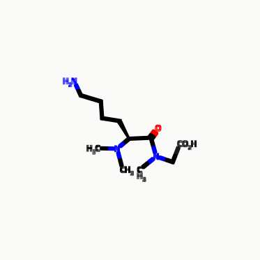 CN(CC(=O)O)C(=O)[C@H](CCCCN)N(C)C